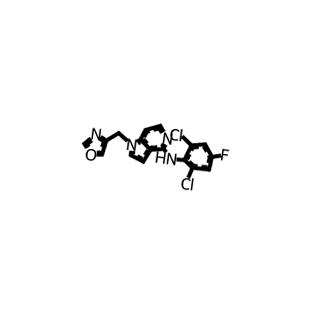 Fc1cc(Cl)c(Nc2nccc3c2ccn3Cc2cocn2)c(Cl)c1